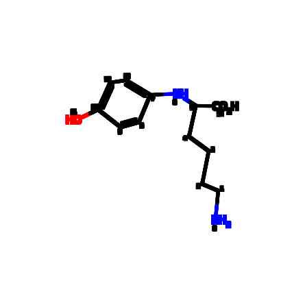 NCCCCC(Nc1ccc(O)cc1)C(=O)O